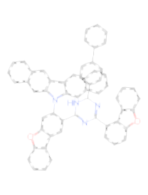 c1ccc(-c2ccc(C3N=C(c4cccc5oc6ccccc6c45)N=C(c4cc5c(cc4-n4c6cc7ccccc7cc6c6cc7ccccc7cc64)oc4ccccc45)N3)cc2)cc1